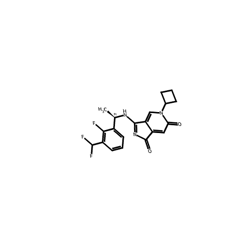 C[C@@H](NC1=NC(=O)c2cc(=O)n(C3CCC3)cc21)c1cccc(C(F)F)c1F